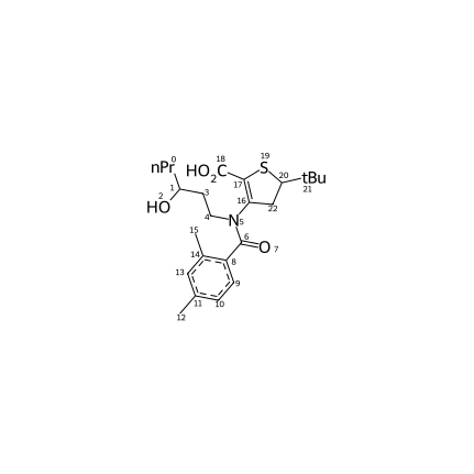 CCCC(O)CCN(C(=O)c1ccc(C)cc1C)C1=C(C(=O)O)SC(C(C)(C)C)C1